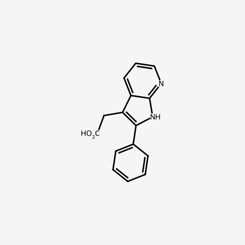 O=C(O)Cc1c(-c2ccccc2)[nH]c2ncccc12